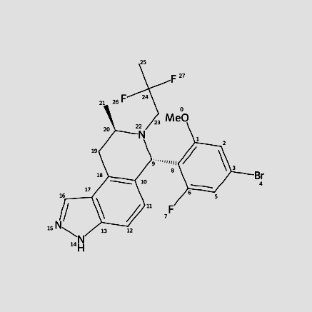 COc1cc(Br)cc(F)c1[C@@H]1c2ccc3[nH]ncc3c2C[C@@H](C)N1CC(C)(F)F